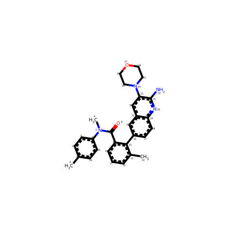 Cc1ccc(N(C)C(=O)c2cccc(C)c2-c2ccc3nc(N)c(N4CCOCC4)cc3c2)cc1